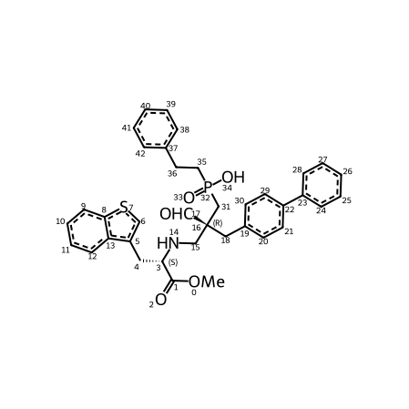 COC(=O)[C@H](Cc1csc2ccccc12)NC[C@@](C=O)(Cc1ccc(-c2ccccc2)cc1)CP(=O)(O)CCc1ccccc1